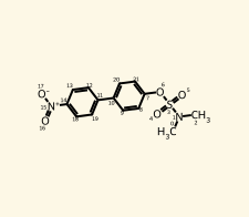 CN(C)S(=O)(=O)Oc1ccc(-c2ccc([N+](=O)[O-])cc2)cc1